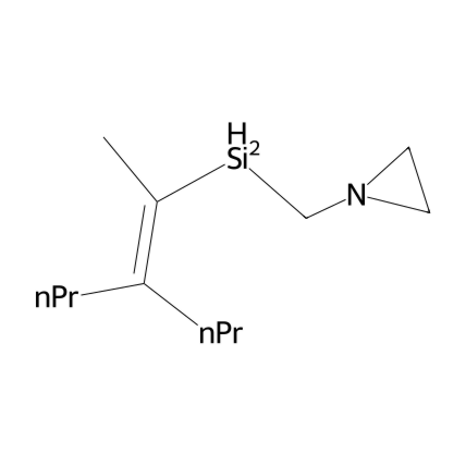 CCCC(CCC)=C(C)[SiH2]CN1CC1